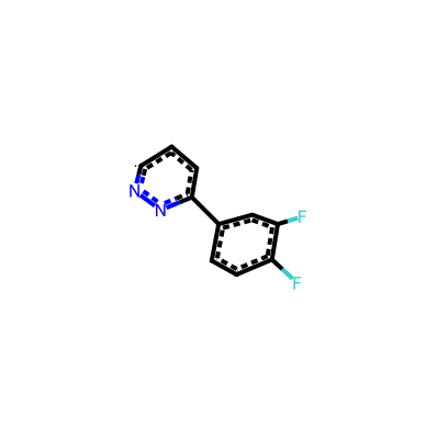 Fc1ccc(-c2cc[c]nn2)cc1F